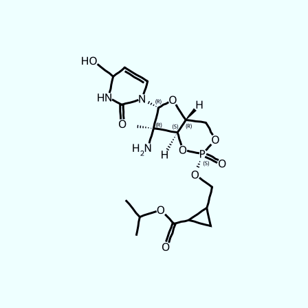 CC(C)OC(=O)C1CC1CO[P@@]1(=O)OC[C@H]2O[C@@H](N3C=CC(O)NC3=O)[C@](C)(N)[C@@H]2O1